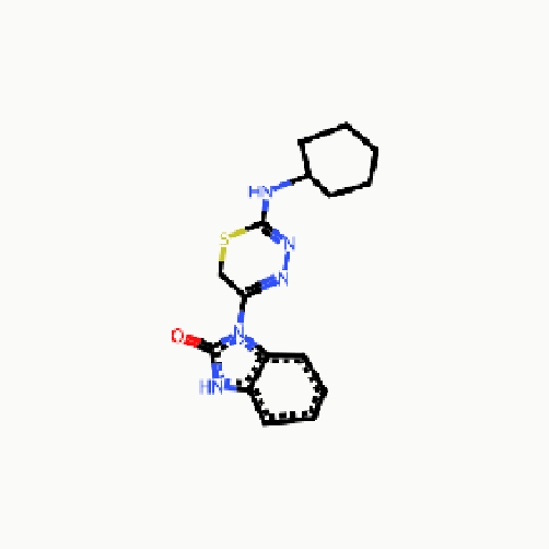 O=c1[nH]c2ccccc2n1C1=NN=C(NC2CCCCC2)SC1